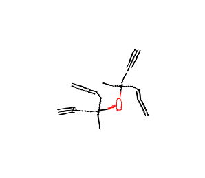 C#CC(C)(C=C)OC(C)(C#C)C=C